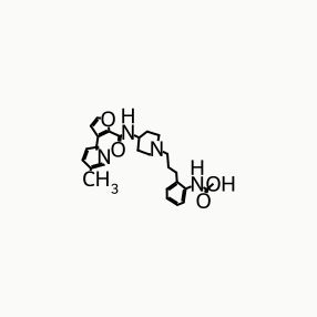 Cc1ccc(-c2ccoc2C(=O)NC2CCN(CCCc3ccccc3NC(=O)O)CC2)nc1